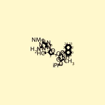 C#C[C@H]1C[C@@H](COP(=S)(N[C@@H](C)C(=O)OC(C)C)Oc2cccc3ccccc23)O[C@H]1n1cnc2c(NC)nc(N)nc21